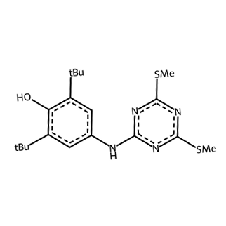 CSc1nc(Nc2cc(C(C)(C)C)c(O)c(C(C)(C)C)c2)nc(SC)n1